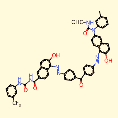 Cc1cccc(N(C(=O)NC=O)c2ccc3c(N=Nc4ccc(C(=O)c5ccc(N=Nc6c(O)ccc7cc(C(=O)NC(=O)Nc8cccc(C(F)(F)F)c8)ccc67)cc5)cc4)c(O)ccc3c2)c1